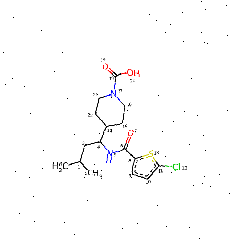 CC(C)CC(NC(=O)c1ccc(Cl)s1)C1CCN(C(=O)O)CC1